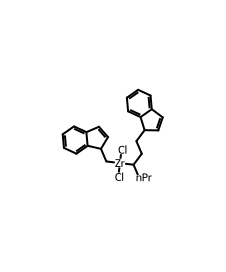 CCC[CH](CCC1C=Cc2ccccc21)[Zr]([Cl])([Cl])[CH2]C1C=Cc2ccccc21